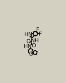 O=C(Nc1c[nH]c2cc(F)c(F)cc12)C(=O)N[C@@H]1CCOC2(CCCC2)C1